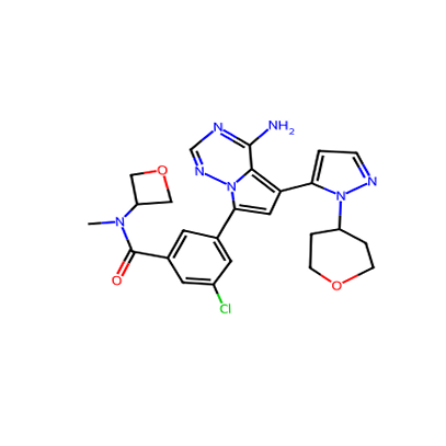 CN(C(=O)c1cc(Cl)cc(-c2cc(-c3ccnn3C3CCOCC3)c3c(N)ncnn23)c1)C1COC1